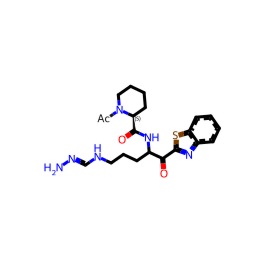 CC(=O)N1CCCC[C@H]1C(=O)NC(CCCNC=NN)C(=O)c1nc2ccccc2s1